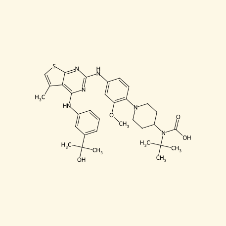 COc1cc(Nc2nc(Nc3cccc(C(C)(C)O)c3)c3c(C)csc3n2)ccc1N1CCC(N(C(=O)O)C(C)(C)C)CC1